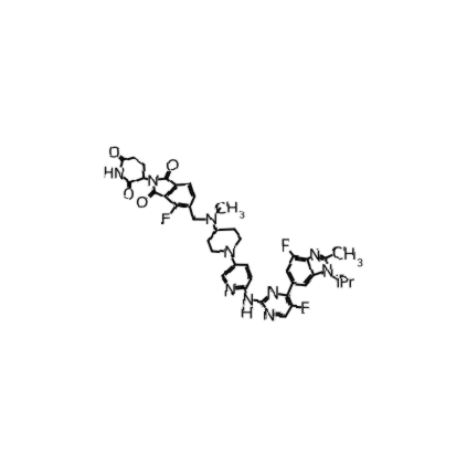 Cc1nc2c(F)cc(-c3nc(Nc4ccc(N5CCC(N(C)Cc6ccc7c(c6F)C(=O)N(C6CCC(=O)NC6=O)C7=O)CC5)cn4)ncc3F)cc2n1C(C)C